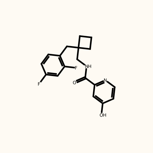 O=C(NCC1(Cc2ccc(F)cc2F)CCC1)c1cc(O)ccn1